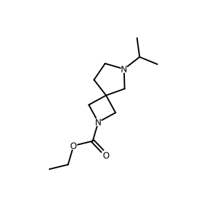 CCOC(=O)N1CC2(CCN(C(C)C)C2)C1